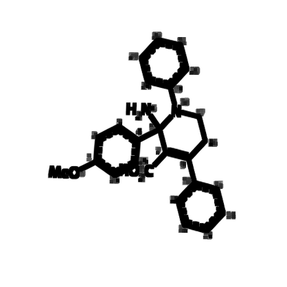 COc1ccc(C2(N)C(C(=O)O)=C(c3ccccc3)CCN2c2ccccc2)cc1